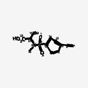 [C]#Cc1ccc(S(=O)(=O)N(C)C(C(=O)O)C(C)CC)cc1